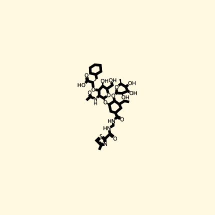 CCC1CC(C(=O)NCNC(=O)c2nc(C)cs2)C[C@@H](O[C@@H]2OC(CO)[C@H](O)C(O[C@@H](CC3CCCCC3)C(=O)O)C2NC(C)=O)C1OC1O[C@@H](C)C(O)C(O)[C@@H]1O